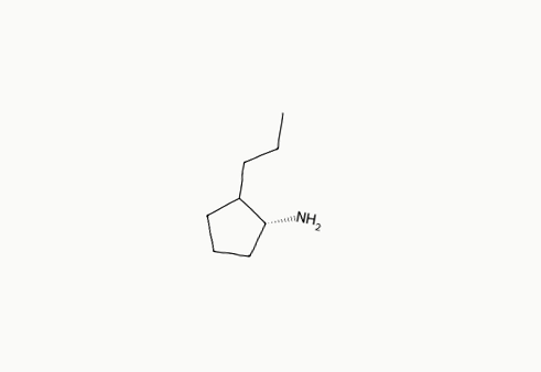 CCCC1CCC[C@H]1N